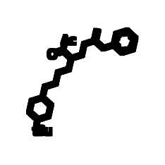 C=C(CCC(CCCCC1CCC(C(C)(C)C)CC1)C(=O)C(C)=O)Cc1ccccc1